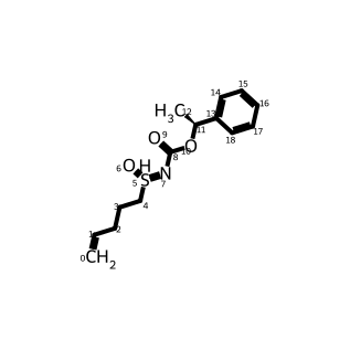 C=CCCC/[SH](=O)=N/C(=O)O[C@@H](C)c1ccccc1